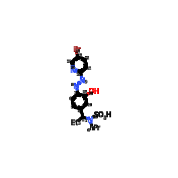 CCCN(C(CC)c1ccc(N=Nc2ccc(Br)cn2)c(O)c1)S(=O)(=O)O